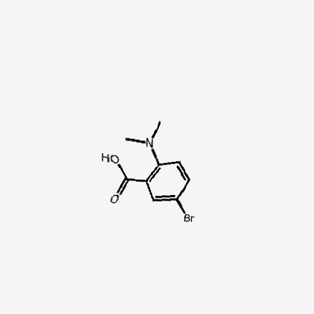 CN(C)c1ccc(Br)cc1C(=O)O